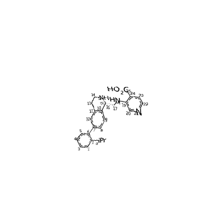 CC(C)c1ccccc1-c1ccc2c(c1)CCN[C@@H]2CNc1cnccc1C(=O)O